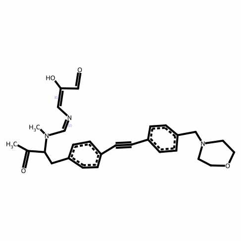 CC(=O)C(Cc1ccc(C#Cc2ccc(CN3CCOCC3)cc2)cc1)N(C)/C=N\C=C(\O)C=O